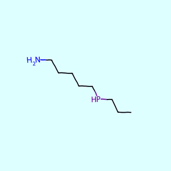 CCCPCCCCCN